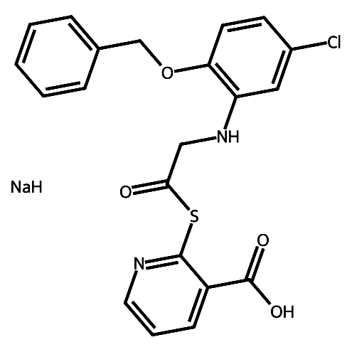 O=C(CNc1cc(Cl)ccc1OCc1ccccc1)Sc1ncccc1C(=O)O.[NaH]